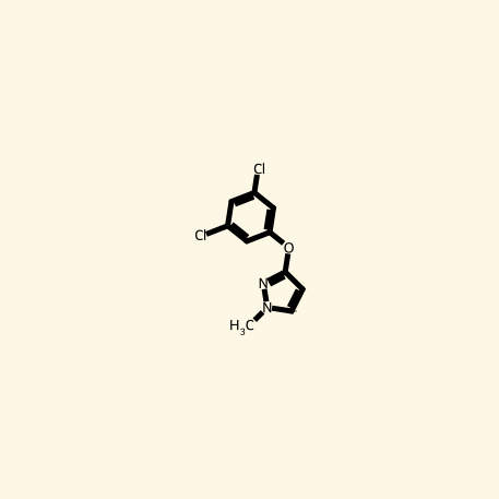 Cn1[c]cc(Oc2cc(Cl)cc(Cl)c2)n1